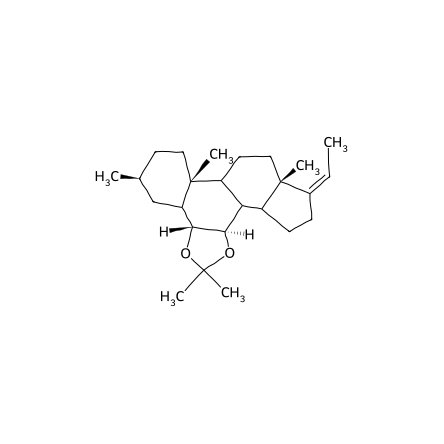 C/C=C1/CCC2C3C(CC[C@]12C)[C@@]1(C)CC[C@H](C)CC1[C@H]1OC(C)(C)O[C@H]31